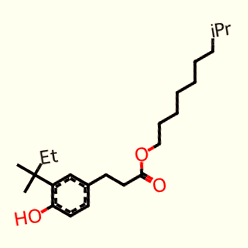 CCC(C)(C)c1cc(CCC(=O)OCCCCCCCC(C)C)ccc1O